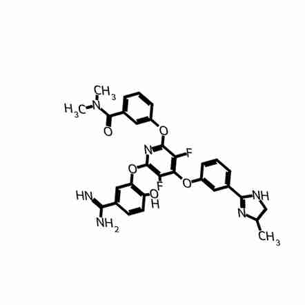 CC1CNC(c2cccc(Oc3c(F)c(Oc4cccc(C(=O)N(C)C)c4)nc(Oc4cc(C(=N)N)ccc4O)c3F)c2)=N1